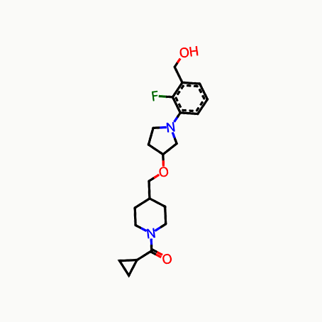 O=C(C1CC1)N1CCC(COC2CCN(c3cccc(CO)c3F)C2)CC1